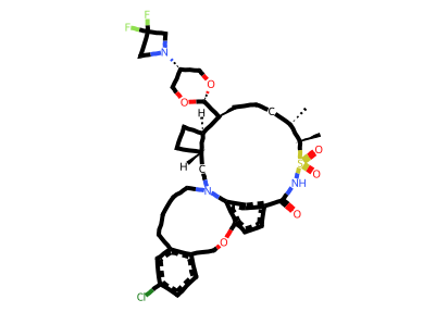 C[C@@H]1[C@@H](C)CCC[C@H]([C@H]2OC[C@@H](N3CC(F)(F)C3)CO2)[C@@H]2CC[C@H]2CN2CCCCc3cc(Cl)ccc3COc3ccc(cc32)C(=O)NS1(=O)=O